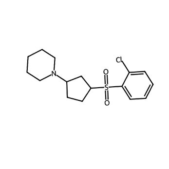 O=S(=O)(c1ccccc1Cl)C1CCC(N2CCCCC2)C1